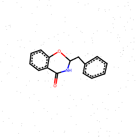 O=C1NC(Cc2ccccc2)Oc2ccccc21